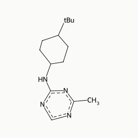 Cc1ncnc(NC2CCC(C(C)(C)C)CC2)n1